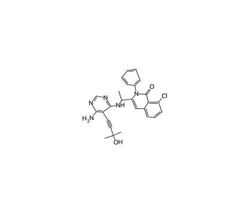 CC(Nc1ncnc(N)c1C#CC(C)(C)O)c1cc2cccc(Cl)c2c(=O)n1-c1ccccc1